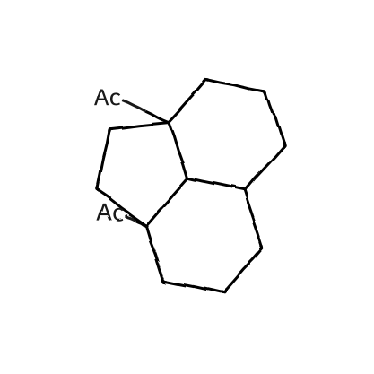 CC(=O)C12CCCC3CCCC(C(C)=O)(CC1)C32